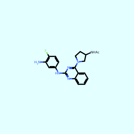 CC(=O)NC1CCN(c2nc(Nc3ccc(F)c(N)c3)nc3ccccc23)C1